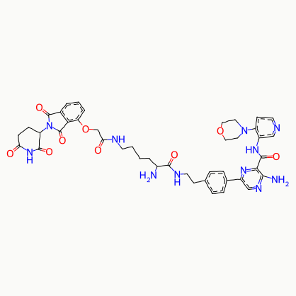 Nc1ncc(-c2ccc(CCNC(=O)C(N)CCCCNC(=O)COc3cccc4c3C(=O)N(C3CCC(=O)NC3=O)C4=O)cc2)nc1C(=O)Nc1cnccc1N1CCOCC1